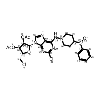 CC(=O)O[C@@H]1[C@H](OC(C)=O)[C@@H](CCl)O[C@H]1n1cnc2c(NN3CCC([S+]([O-])c4ccccc4)CC3)nc(Cl)nc21